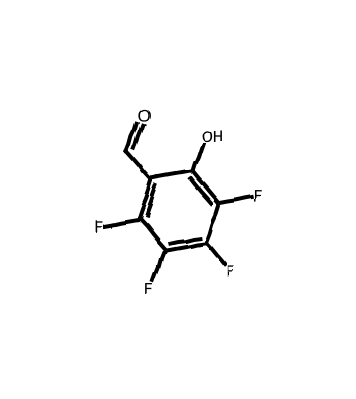 O=Cc1c(O)c(F)c(F)c(F)c1F